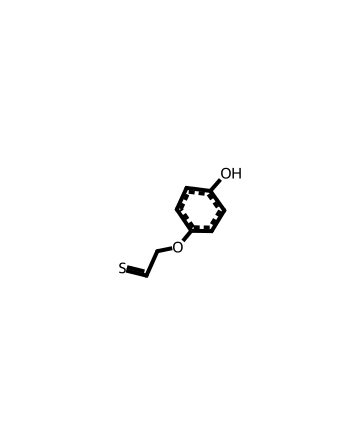 Oc1ccc(OCC=S)cc1